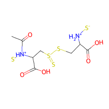 CC(=O)[NH+]([S-])C(CS(=S)SCC([NH2+][S-])C(=O)O)C(=O)O